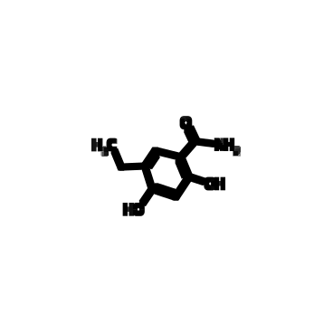 CCc1cc(C(N)=O)c(O)cc1O